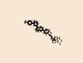 CN(C)CCCOc1ccc(-c2ccn3c(-c4ccnc(-c5ccc(F)cc5)c4)cnc3c2)cn1